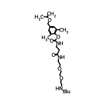 C=C(C)OCc1cc(C)c(OC(=O)NCCC(=O)NCCOCCOCCNC(C)(C)C)c(C)c1